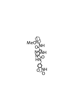 COC12CC3CC(CC(NC(=O)c4c[nH]c5c(C(=O)NCc6ccc7c(c6)NC(=O)CO7)ncnc45)(C3)C1)C2